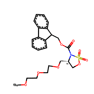 CC(C)(C)OCCOCCOC[C@H]1COS(=O)(=O)N1C(=O)OCC1c2ccccc2-c2ccccc21